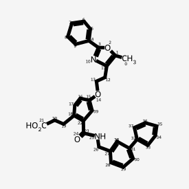 Cc1oc(-c2ccccc2)nc1CCOc1ccc(CCC(=O)O)c(C(=O)NCc2cccc(-c3ccccc3)c2)c1